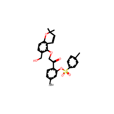 CCCCc1ccc(C(=O)COc2c(CO)ccc3c2C=CC(C)(C)O3)c(OS(=O)(=O)c2ccc(C)cc2)c1